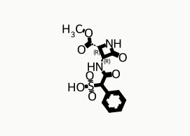 COC(=O)[C@@H]1NC(=O)[C@@H]1NC(=O)C(c1ccccc1)S(=O)(=O)O